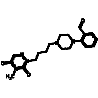 Cn1c(=O)cnn(CCCCN2CCN(c3ccccc3C=O)CC2)c1=O